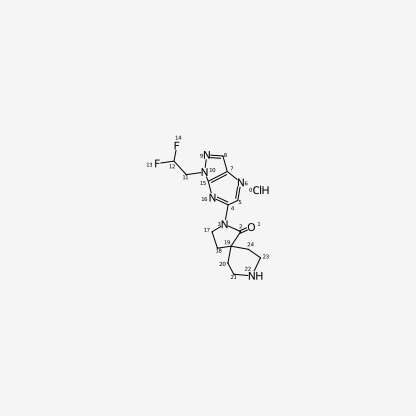 Cl.O=C1N(c2cnc3cnn(CC(F)F)c3n2)CCC12CCNCC2